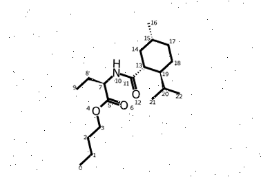 CCCCOC(=O)[C@@H](CC)NC(=O)[C@@H]1C[C@H](C)CC[C@H]1C(C)C